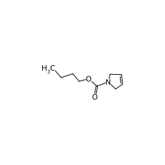 CCCCOC(=O)N1CC=CC1